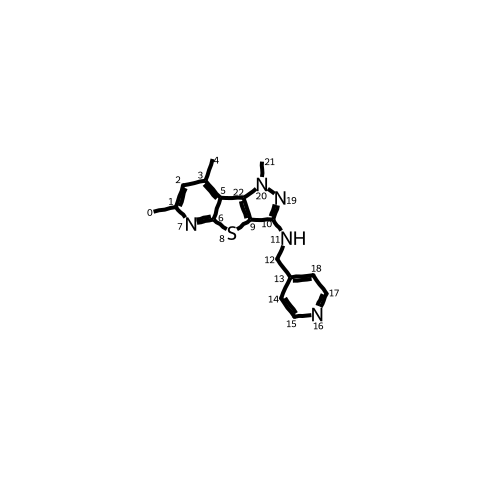 Cc1cc(C)c2c(n1)sc1c(NCc3ccncc3)nn(C)c12